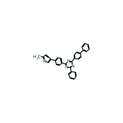 Cc1ccc(-c2ccc(-c3nc(-c4ccccc4)nc(-c4ccc(-c5ccccc5)cc4)n3)cc2)cn1